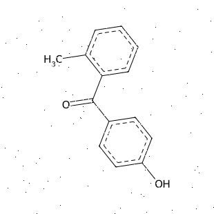 Cc1ccccc1C(=O)c1ccc(O)cc1